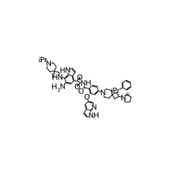 CC(C)c1ccccc1[C@@H]1CCCN1C1CC2(CCN(c3ccc(C(=O)NS(=O)(=O)c4cc(N)c(NCC5(F)CCN(C(C)C)CC5)c5[nH]ccc45)c(Oc4cnc5[nH]ccc5c4)c3)CC2)C1